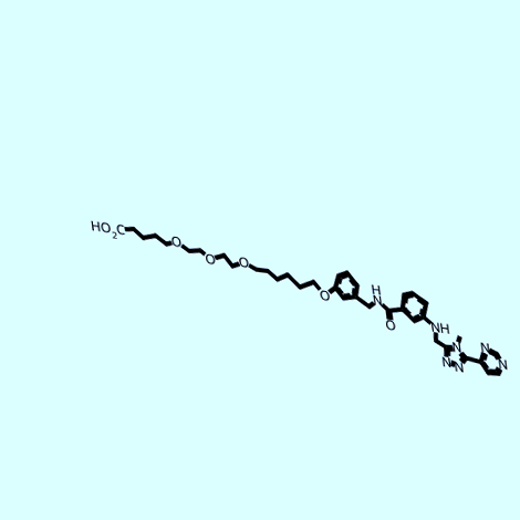 Cn1c(CNc2cccc(C(=O)NCc3cccc(OCCCCCCOCCOCCOCCCCC(=O)O)c3)c2)nnc1-c1ccncn1